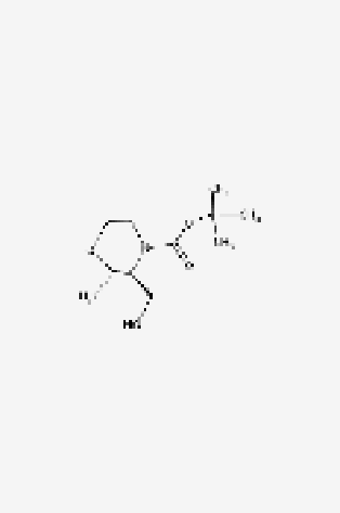 C[C@@H]1OCCN(C(=O)OC(C)(C)C)[C@H]1CO